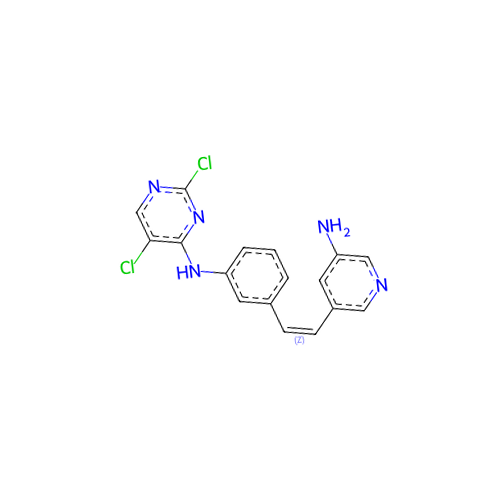 Nc1cncc(/C=C\c2cccc(Nc3nc(Cl)ncc3Cl)c2)c1